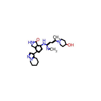 C=N/C(=C\C=C(/C)N1CCC(O)CC1)Nc1ccc(-c2cnn3c2CCCCC3)c2c1C(=O)NC2